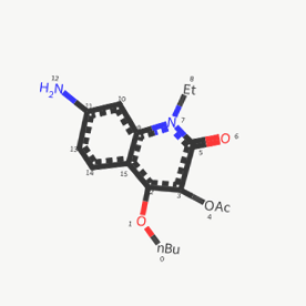 CCCCOc1c(OC(C)=O)c(=O)n(CC)c2cc(N)ccc12